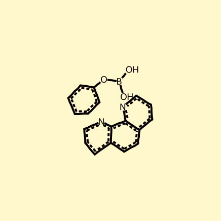 OB(O)Oc1ccccc1.c1cnc2c(c1)ccc1cccnc12